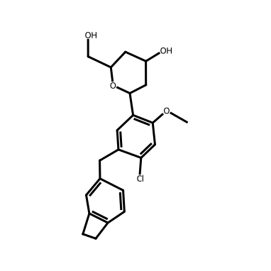 COc1cc(Cl)c(Cc2ccc3c(c2)CC3)cc1C1CC(O)CC(CO)O1